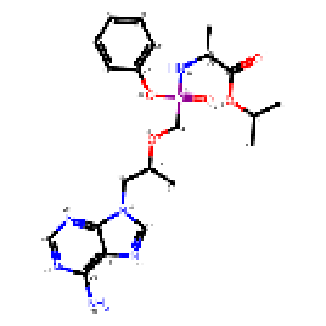 CC(C)OC(=O)[C@H](C)NP(=O)(COC(C)Cn1cnc2c(N)ncnc21)Oc1ccccc1